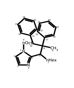 CCCCCCCCn1ccnc1C(CCCCCC)C(C)(Cc1ccccc1)c1ccccc1